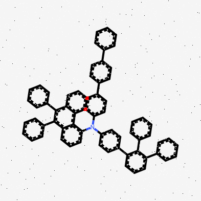 c1ccc(-c2ccc(-c3ccc(N(c4ccc(-c5cccc(-c6ccccc6)c5-c5ccccc5)cc4)c4cccc5c(-c6ccccc6)c(-c6ccccc6)c6ccccc6c45)cc3)cc2)cc1